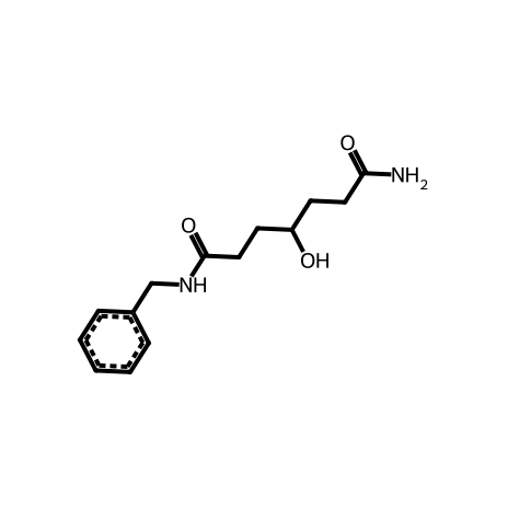 NC(=O)CCC(O)CCC(=O)NCc1ccccc1